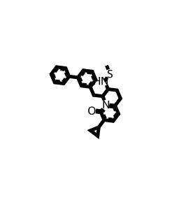 CSNC1CCc2ccc(C3CC3)c(=O)n2C1Cc1cccc(-c2ccccc2)c1